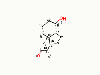 C[C@H](C=O)[C@H]1CCC2C(O)CCC[C@@]21C